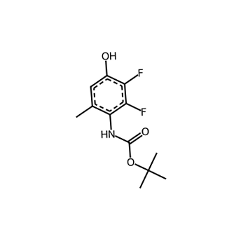 Cc1cc(O)c(F)c(F)c1NC(=O)OC(C)(C)C